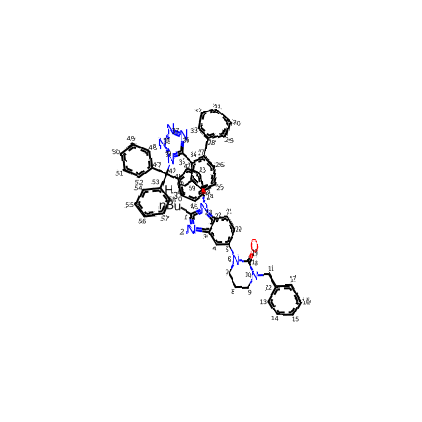 CCCCc1nc2cc(N3CCCN(Cc4ccccc4)C3=O)ccc2n1-c1ccc(-c2ccccc2)c(-c2nnnn2C(c2ccccc2)(c2ccccc2)c2ccccc2)c1C